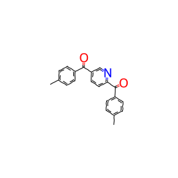 Cc1ccc(C(=O)c2ccc(C(=O)c3ccc(C)cc3)nc2)cc1